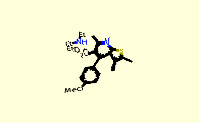 CCNCC.CCOC(=O)c1c(C)nc2sc(C)c(C)c2c1-c1ccc(OC)cc1